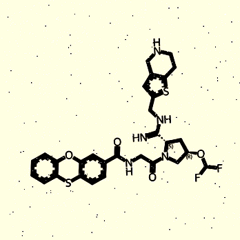 N=C(NCc1cc2c(s1)CCNC2)[C@@H]1C[C@@H](OC(F)F)CN1C(=O)CNC(=O)c1ccc2c(c1)Oc1ccccc1S2